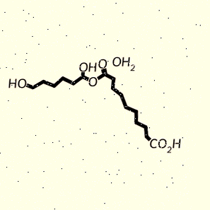 O.O=C(O)CCCCCCCCC(=O)OC(O)CCCCCO